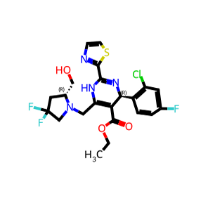 CCOC(=O)C1=C(CN2CC(F)(F)C[C@@H]2CO)NC(c2nccs2)=N[C@H]1c1ccc(F)cc1Cl